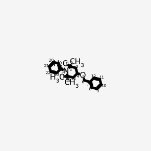 CC1(C)CC(OCc2ccccc2)CC(C)(C)N1c1ccccc1